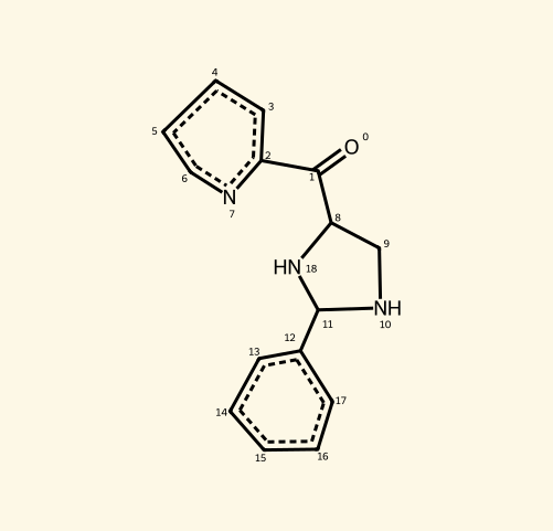 O=C(c1ccccn1)C1CNC(c2ccccc2)N1